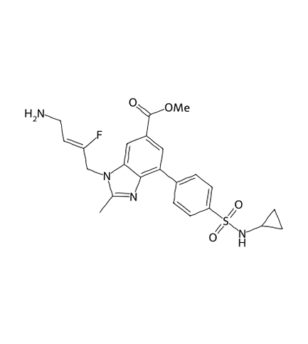 COC(=O)c1cc(-c2ccc(S(=O)(=O)NC3CC3)cc2)c2nc(C)n(C/C(F)=C/CN)c2c1